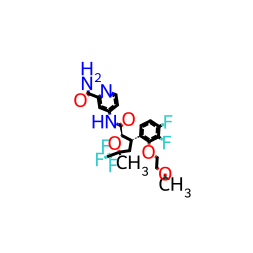 COCCOc1c([C@@H]2C[C@](C)(C(F)(F)F)O[C@H]2C(=O)Nc2ccnc(C(N)=O)c2)ccc(F)c1F